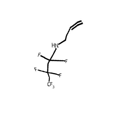 C=CCNC(F)(F)C(F)(F)C(F)(F)F